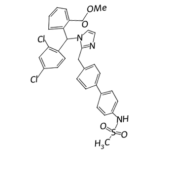 COC(=O)c1ccccc1C(c1ccc(Cl)cc1Cl)n1ccnc1Cc1ccc(-c2ccc(NS(C)(=O)=O)cc2)cc1